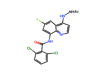 CC(=O)NNc1ccnc2c(NC(=O)c3c(Cl)cccc3Cl)cc(F)cc12